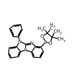 CC1(C)OB(c2cccc3c2nc2n(-c4ccccc4)c4ccccc4n32)OC1(C)C